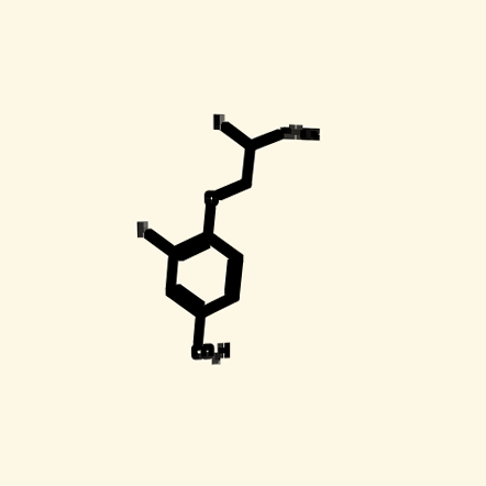 CCCCCCC(F)COc1ccc(C(=O)O)cc1F